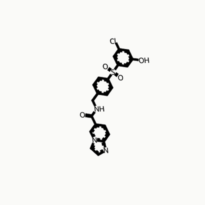 O=C(NCc1ccc(S(=O)(=O)c2cc(O)cc(Cl)c2)cc1)c1ccc2nccn2c1